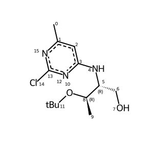 Cc1cc(N[C@H](CO)[C@@H](C)OC(C)(C)C)nc(Cl)n1